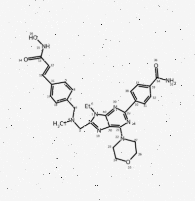 CCn1c(CN(C)Cc2ccc(C=CC(=O)NO)cc2)nc2c(N3CCOCC3)nc(-c3ccc(C(N)=O)cc3)nc21